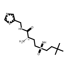 CC(C)(C)CCS(=N)(=O)CC[C@H](N)C(=O)NCc1cncs1